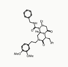 CCN1CC(=O)N2[C@@H](CC(C)C)C(=O)N(CCc3ccc(OC)c(OC)c3)C[C@@H]2N1C(=O)NCc1ccccc1